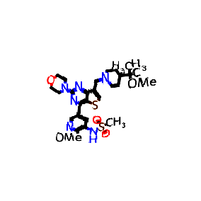 COc1ncc(-c2nc(N3CCOCC3)nc3c(CN4CCC(C(C)(C)OC)CC4)csc23)cc1NS(C)(=O)=O